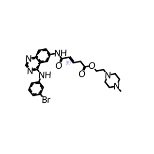 CN1CCN(CCOC(=O)C/C=C/C(=O)Nc2ccc3ncnc(Nc4cccc(Br)c4)c3c2)CC1